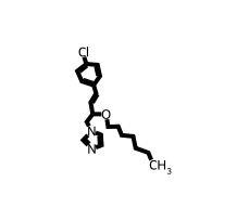 CCCCCCCOC(C=Cc1ccc(Cl)cc1)Cn1ccnc1